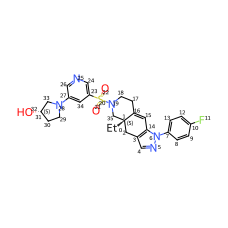 CC[C@]12Cc3cnn(-c4ccc(F)cc4)c3C=C1CCN(S(=O)(=O)c1cncc(N3CC[C@H](O)C3)c1)C2